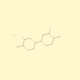 CC1CC(C2CCC(I)C(I)C2)CCC1I